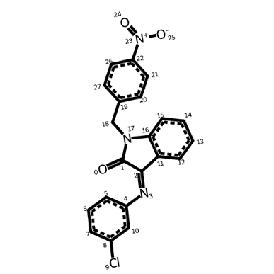 O=C1C(=Nc2cccc(Cl)c2)c2ccccc2N1Cc1ccc([N+](=O)[O-])cc1